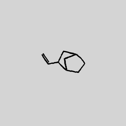 C=CC1C[C]2CCC1C2